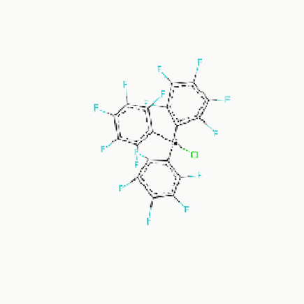 Fc1c(F)c(F)c([Si](Cl)(c2c(F)c(F)c(F)c(F)c2F)c2c(F)c(F)c(F)c(F)c2F)c(F)c1F